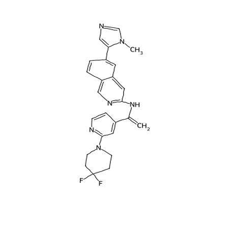 C=C(Nc1cc2cc(-c3cncn3C)ccc2cn1)c1ccnc(N2CCC(F)(F)CC2)c1